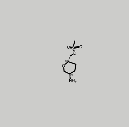 CS(=O)(=O)OC[C@@H]1CC[C@@H](N)CO1